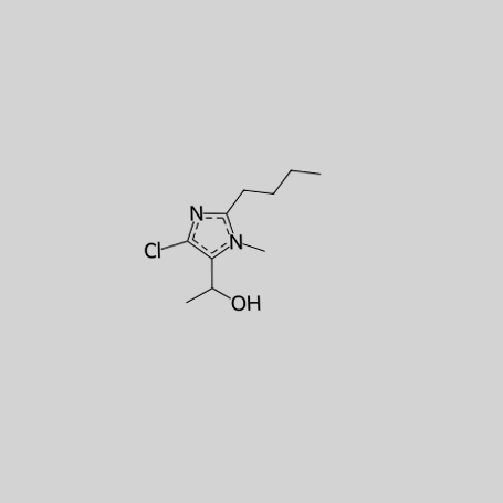 CCCCc1nc(Cl)c(C(C)O)n1C